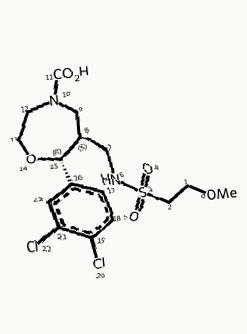 COCCS(=O)(=O)NC[C@@H]1CN(C(=O)O)CCO[C@H]1c1ccc(Cl)c(Cl)c1